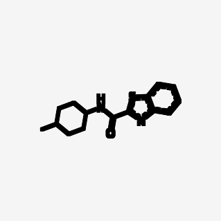 CC1CCC(NC(=O)c2nc3ccccc3s2)CC1